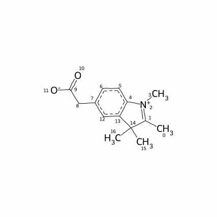 CC1=[N+](C)c2ccc(CC(=O)[O-])cc2C1(C)C